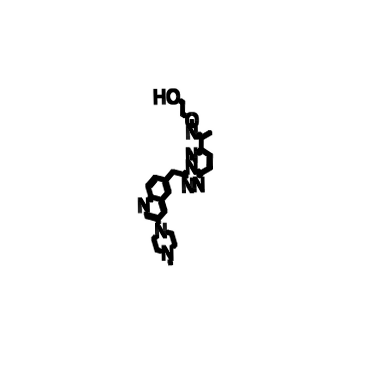 CC(=NOCCO)c1ccc2nnc(Cc3ccc4ncc(N5CCN(C)CC5)cc4c3)n2n1